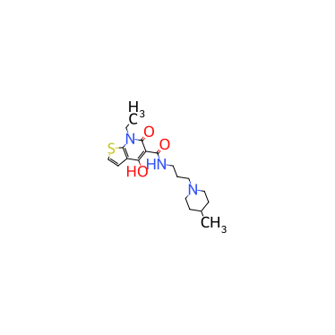 CCn1c(=O)c(C(=O)NCCCN2CCC(C)CC2)c(O)c2ccsc21